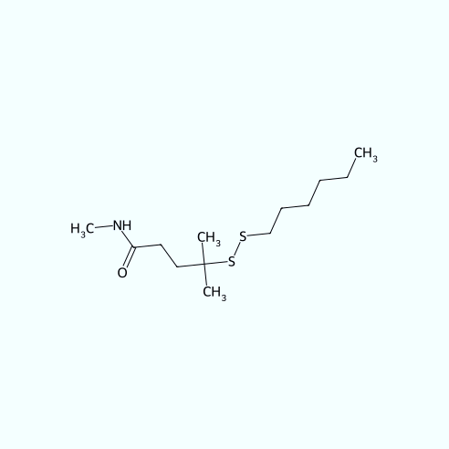 CCCCCCSSC(C)(C)CCC(=O)NC